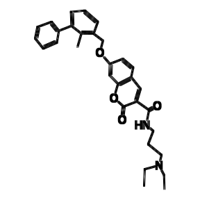 CCN(CC)CCCNC(=O)c1cc2ccc(OCc3cccc(-c4ccccc4)c3C)cc2oc1=O